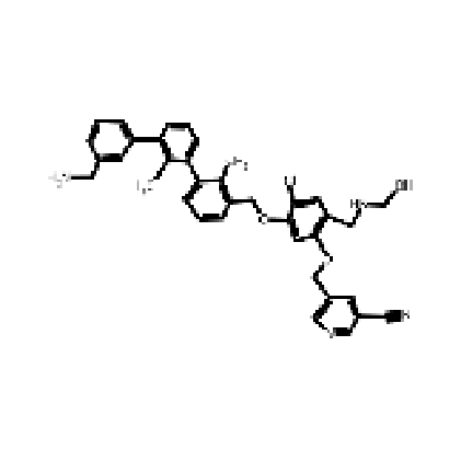 Cc1c(COc2cc(OCc3cncc(C#N)c3)c(CNCO)cc2Cl)cccc1-c1cccc(-c2cccc(CN)c2)c1C